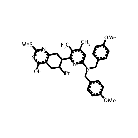 COc1ccc(CN(Cc2ccc(OC)cc2)c2cc(C)c(C(F)(F)F)c(C3Cc4nc(SC)nc(O)c4CC3C(C)C)n2)cc1